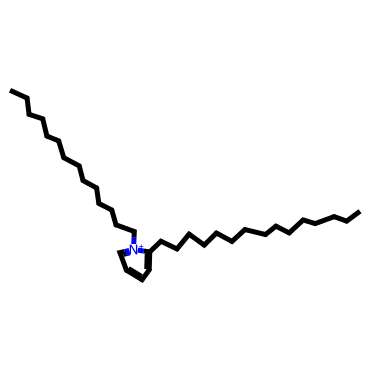 CCCCCCCCCCCCCCCc1cccc[n+]1CCCCCCCCCCCCCC